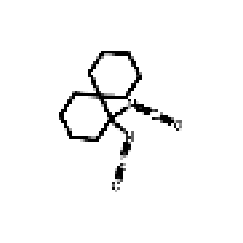 O=C=NC1(N=C=O)CCCCC12CCCCC2